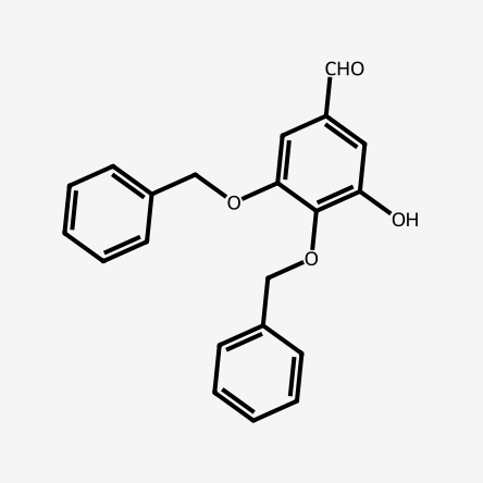 O=Cc1cc(O)c(OCc2ccccc2)c(OCc2ccccc2)c1